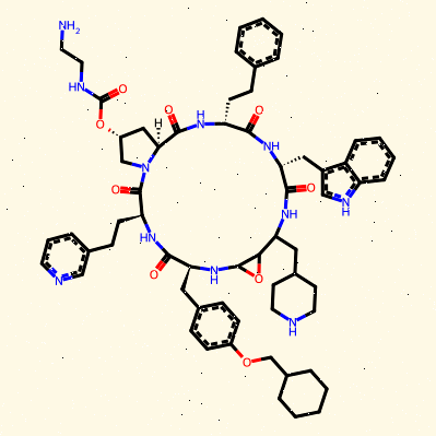 NCCNC(=O)O[C@@H]1C[C@H]2C(=O)N[C@H](CCc3ccccc3)C(=O)N[C@H](Cc3c[nH]c4ccccc34)C(=O)NC(CC3CCNCC3)C3OC3N[C@@H](Cc3ccc(OCC4CCCCC4)cc3)C(=O)N[C@@H](CCc3cccnc3)C(=O)N2C1